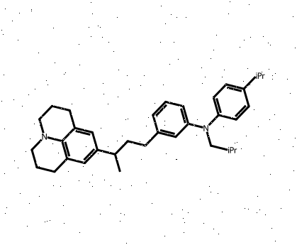 CC(C)CN(c1ccc(C(C)C)cc1)c1cccc(CCC(C)c2cc3c4c(c2)CCCN4CCC3)c1